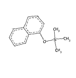 C[Si](C)(C)Oc1cccc2[c]cccc12